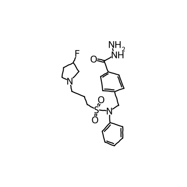 NNC(=O)c1ccc(CN(c2ccccc2)S(=O)(=O)CCCN2CCC(F)C2)cc1